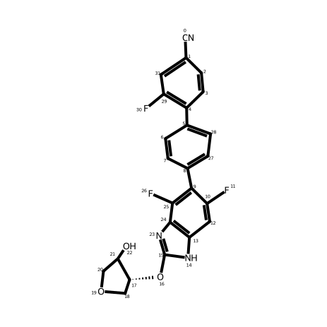 N#Cc1ccc(-c2ccc(-c3c(F)cc4[nH]c(O[C@@H]5COCC5O)nc4c3F)cc2)c(F)c1